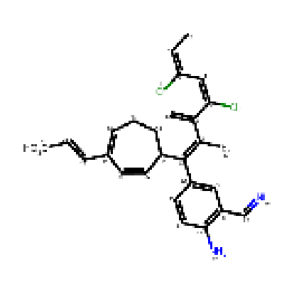 C=C(/C(Cl)=C\C(Cl)=C/C)/C(CC)=C(/c1ccc(N)c(C=N)c1)C1C=CC(/C=C/C(=O)O)=CCC1